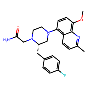 COc1ccc(N2CCN(CC(N)=O)[C@@H](Cc3ccc(F)cc3)C2)c2ccc(C)nc12